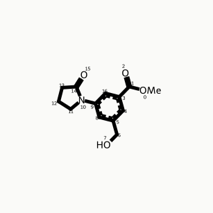 COC(=O)c1cc(CO)cc(N2CCCC2=O)c1